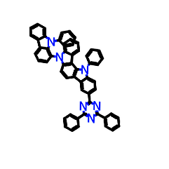 c1ccc(-c2nc(-c3ccccc3)nc(-c3ccc4c(c3)c3ccc5c(c6ccccc6n5-c5cccc6c7ccccc7n(-c7ccccc7)c56)c3n4-c3ccccc3)n2)cc1